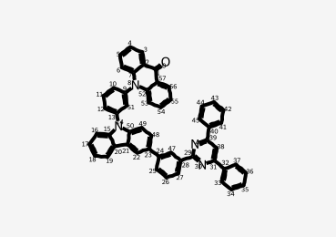 O=c1c2ccccc2n(-c2cccc(-n3c4ccccc4c4cc(-c5cccc(-c6nc(-c7ccccc7)cc(-c7ccccc7)n6)c5)ccc43)c2)c2ccccc12